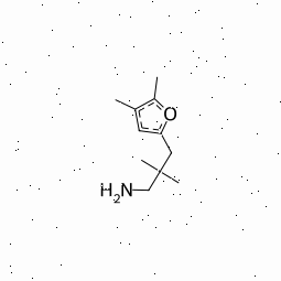 Cc1cc(CC(C)(C)CN)oc1C